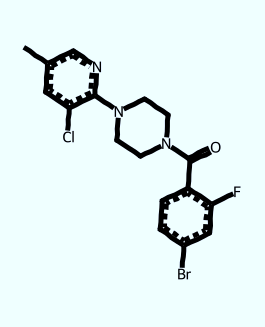 Cc1cnc(N2CCN(C(=O)c3ccc(Br)cc3F)CC2)c(Cl)c1